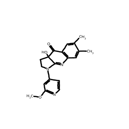 COc1cc(N2CCC3(O)C(=O)c4cc(C)c(C)cc4N=C23)ccn1